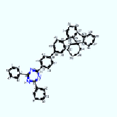 c1ccc(-c2nc(-c3ccccc3)nc(-c3ccc(-c4ccc(-c5cccc6c5C5(CCCCC5)c5ccccc5-6)cc4)cc3)n2)cc1